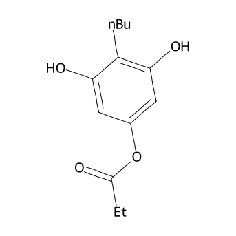 CCCCc1c(O)cc(OC(=O)CC)cc1O